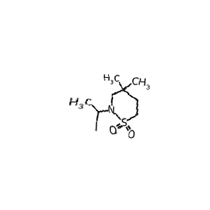 CC(I)N1CC(C)(C)CCS1(=O)=O